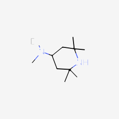 CCN(C)C1CC(C)(C)NC(C)(C)C1